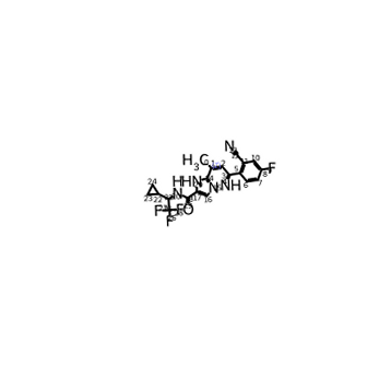 C/C(=C/C(=N)c1ccc(F)cc1C#N)c1ncc(C(=O)NC(C2CC2)C(F)(F)F)[nH]1